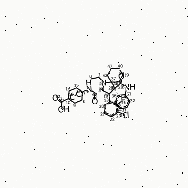 CCN1[C@@H](C(=O)NC23CCC(C(=O)O)(CC2)CC3)[C@H](c2cccc(Cl)c2F)[C@]2(C(=O)Nc3ccccc32)C12CCCCC2